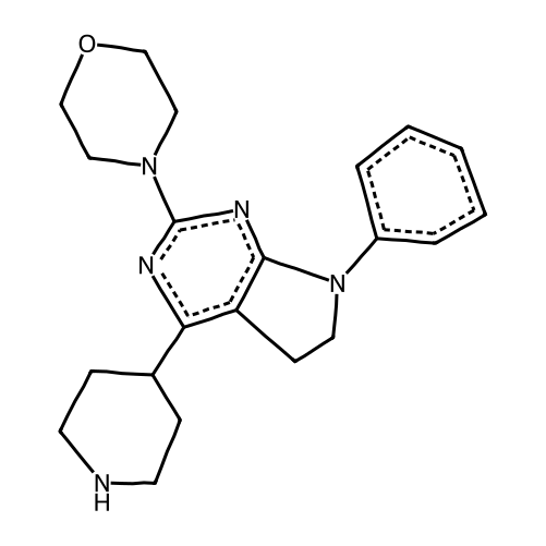 c1ccc(N2CCc3c(C4CCNCC4)nc(N4CCOCC4)nc32)cc1